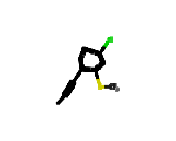 CC#Cc1ccc(Cl)cc1SC(F)(F)F